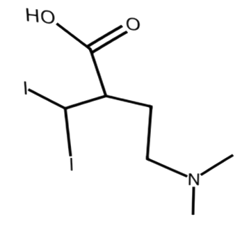 CN(C)CCC(C(=O)O)C(I)I